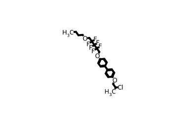 CCCCOCC(F)(F)C(F)(F)C(F)(F)COc1ccc(-c2ccc(OCC(C)Cl)cc2)cc1